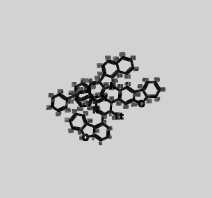 CCC1C(c2cccc3oc4ccccc4c23)=NC(c2cccc(-c3ccccc3)c2)=NC1c1cc2oc3ccccc3c2cc1-n1c2cc3ccccc3cc2c2ccc3ccccc3c21